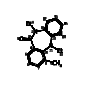 CCN1C(=O)c2cccc(C)c2N(CC)c2ncccc21